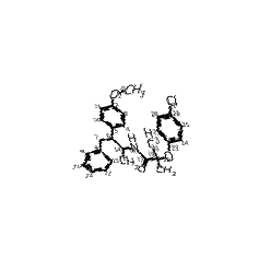 COc1ccc(C(Cc2ccccc2)C(C)NC(=O)C(C)(C)Oc2ccc(Cl)cc2)cc1